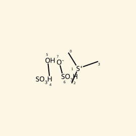 C[S+](C)C.O=S(=O)(O)O.O=S(=O)([O-])O